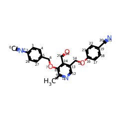 [C-]#[N+]c1ccc(COc2c(C)ncc(COc3ccc(C#N)cc3)c2C=O)cc1